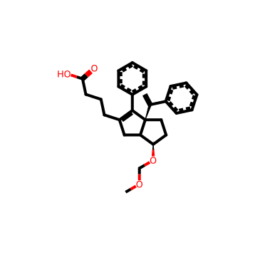 C=C(c1ccccc1)[C@@]12CC[C@@H](OCOC)C1CC(CCCC(=O)O)=C2c1ccccc1